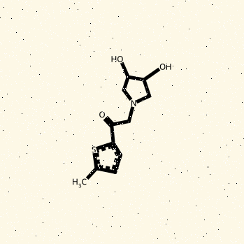 Cc1ccc(C(=O)CN2CC(O)C(O)C2)s1